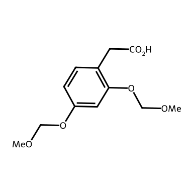 COCOc1ccc(CC(=O)O)c(OCOC)c1